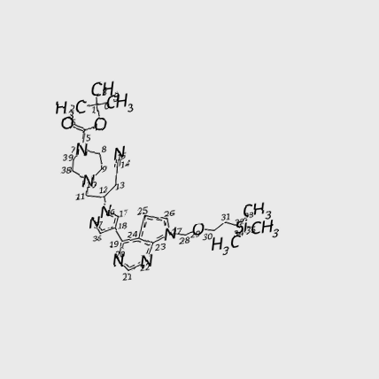 CC(C)(C)OC(=O)N1CCN(CC(CC#N)n2cc(-c3ncnc4c3ccn4COCC[Si](C)(C)C)cn2)CC1